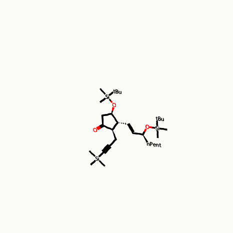 CCCCC[C@@H](C=C[C@H]1[C@H](O[Si](C)(C)C(C)(C)C)CC(=O)[C@@H]1CC#C[Si](C)(C)C)O[Si](C)(C)C(C)(C)C